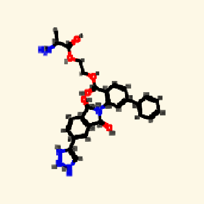 C[C@H](N)C(=O)OCCOC(=O)c1ccc(-c2ccccc2)cc1N1C(=O)c2ccc(-c3c[nH]nn3)cc2C1=O